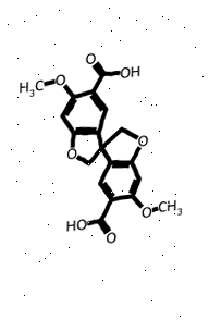 COc1cc2c(cc1C(=O)O)C1(CO2)COc2cc(OC)c(C(=O)O)cc21